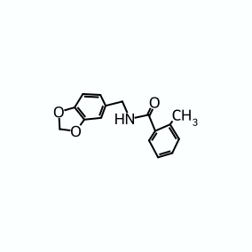 Cc1ccccc1C(=O)NCc1ccc2c(c1)OCO2